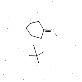 CC(C)(C)O.ON=C1CCCCC1